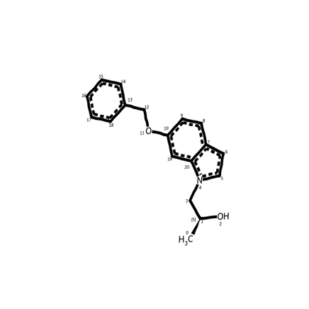 C[C@H](O)Cn1ccc2ccc(OCc3ccccc3)cc21